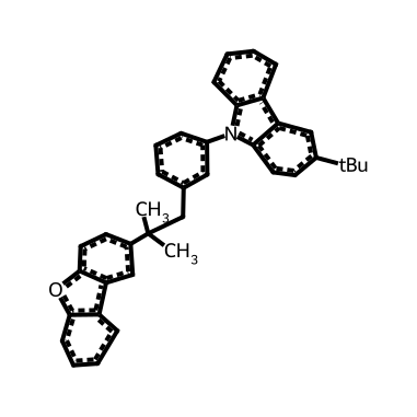 CC(C)(C)c1ccc2c(c1)c1ccccc1n2-c1cccc(CC(C)(C)c2ccc3oc4ccccc4c3c2)c1